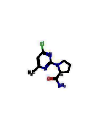 Cc1cc(Cl)nc(N2CCC[C@H]2C(N)=O)n1